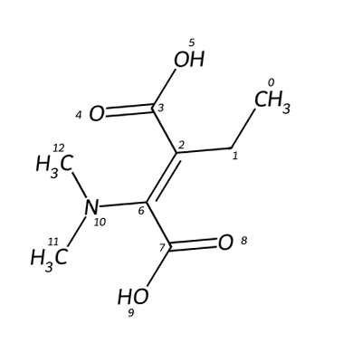 CC/C(C(=O)O)=C(\C(=O)O)N(C)C